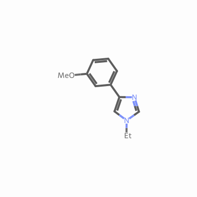 CCn1cnc(-c2cccc(OC)c2)c1